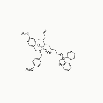 C=CC[C@@H](C)[C@H](C[C@@H](O)CCO[Si](CC(C)C)(c1ccccc1)c1ccccc1)S(=O)(=O)N(Cc1ccc(OC)cc1)Cc1ccc(OC)cc1